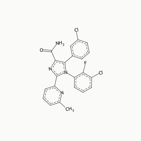 Cc1cccc(-c2nc(C(N)=O)c(-c3cccc(Cl)c3)n2-c2cccc(Cl)c2F)n1